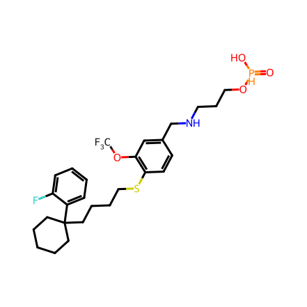 O=[PH](O)OCCCNCc1ccc(SCCCCC2(c3ccccc3F)CCCCC2)c(OC(F)(F)F)c1